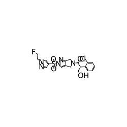 O=C([C@H](CO)c1ccccc1Cl)N1Cc2cn(S(=O)(=O)c3cnn(CCF)c3)nc2C1